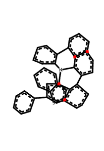 c1ccc(-c2cccc(N(c3ccccc3-c3ccccc3)c3ccccc3-c3cccc4sc5ccccc5c34)c2)cc1